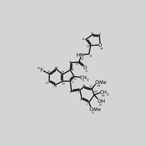 COC1=CC(=CC2=C(C)C(=CC(=O)NCc3ccco3)c3cc(F)ccc32)C=C(OC)C1(C)O